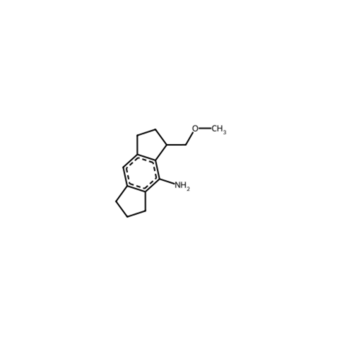 COCC1CCc2cc3c(c(N)c21)CCC3